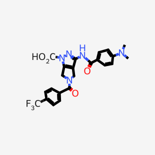 CN(C)c1ccc(C(=O)Nc2nn(C(=O)O)c3c2CN(C(=O)c2ccc(C(F)(F)F)cc2)C3)cc1